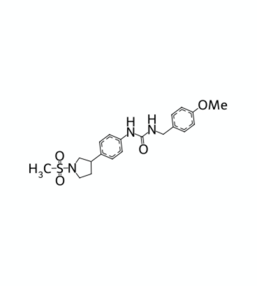 COc1ccc(CNC(=O)Nc2ccc(C3CCN(S(C)(=O)=O)C3)cc2)cc1